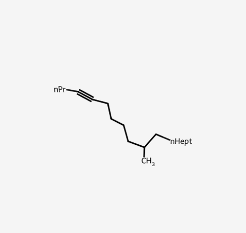 [CH2]CCC#CCCCCC(C)CCCCCCC[CH2]